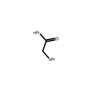 [CH2]CCC(=O)CCCC